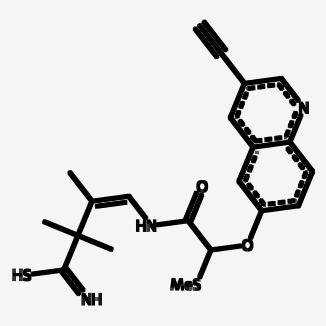 C#Cc1cnc2ccc(OC(SC)C(=O)NC=C(C)C(C)(C)C(=N)S)cc2c1